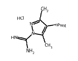 CCCCCc1c(C)nn(C(=N)N)c1C.Cl